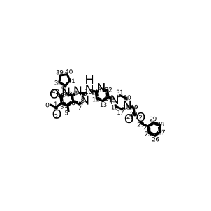 CC(=O)c1c(C)c2cnc(Nc3ccc(N4CCN(CC(=O)OCc5ccccc5)CC4)cn3)nc2n(C2CCCC2)c1=O